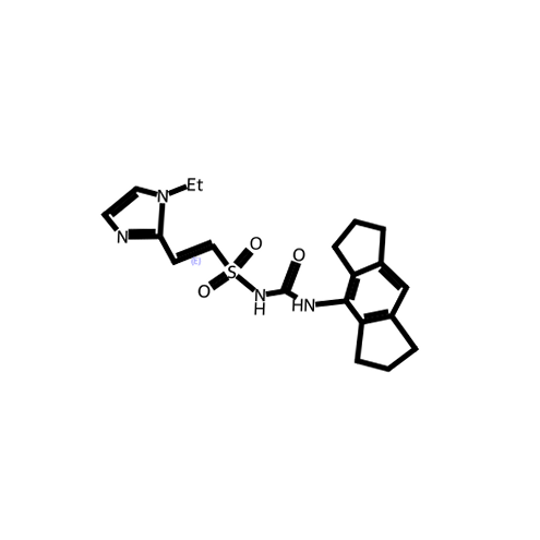 CCn1ccnc1/C=C/S(=O)(=O)NC(=O)Nc1c2c(cc3c1CCC3)CCC2